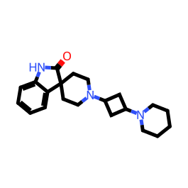 O=C1Nc2ccccc2C12CCN(C1CC(N3CCCCC3)C1)CC2